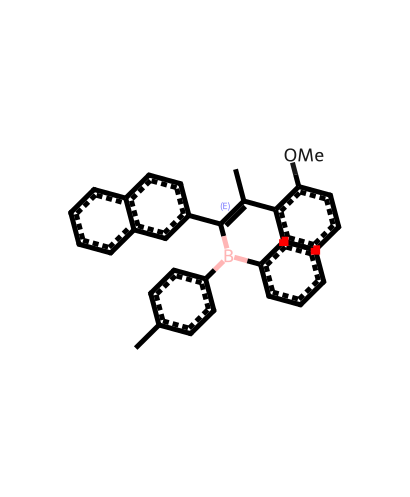 COc1ccccc1/C(C)=C(\B(c1ccccc1)c1ccc(C)cc1)c1ccc2ccccc2c1